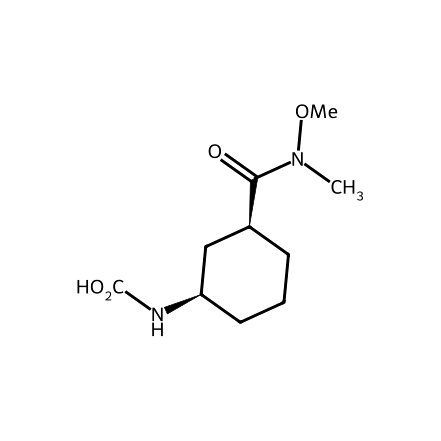 CON(C)C(=O)[C@H]1CCC[C@@H](NC(=O)O)C1